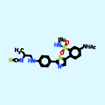 CC(=O)Nc1ccc(-c2cnc(-c3ccc(NCC(C)N=C=S)cc3)s2)c(S(=O)(=O)NC(C)(C)C)c1